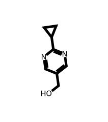 OCc1cnc(C2CC2)nc1